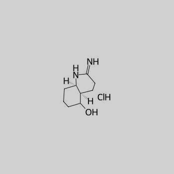 Cl.N=C1CC[C@H]2C(O)CCC[C@H]2N1